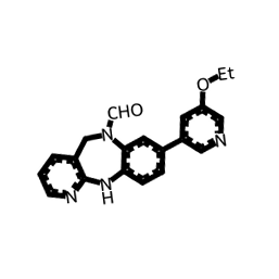 CCOc1cncc(-c2ccc3c(c2)N(C=O)Cc2cccnc2N3)c1